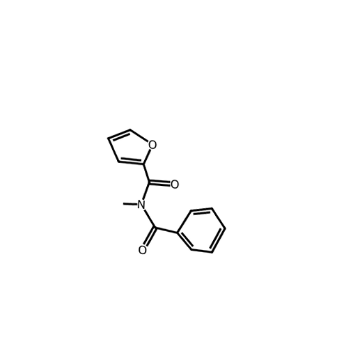 CN(C(=O)c1ccccc1)C(=O)c1ccco1